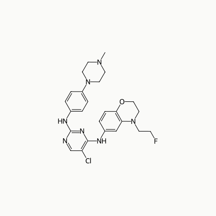 CN1CCN(c2ccc(Nc3ncc(Cl)c(Nc4ccc5c(c4)N(CCF)CCO5)n3)cc2)CC1